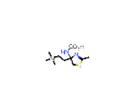 CC1=NC(CC[Si](C)(C)C)(NC(=O)O)CS1